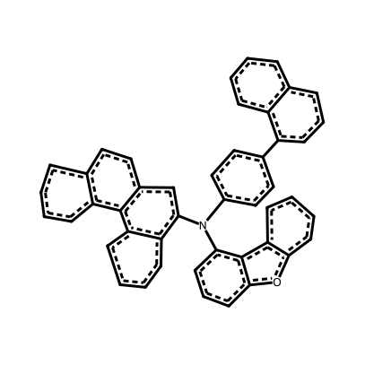 c1ccc2c(-c3ccc(N(c4cc5ccc6ccccc6c5c5ccccc45)c4cccc5oc6ccccc6c45)cc3)cccc2c1